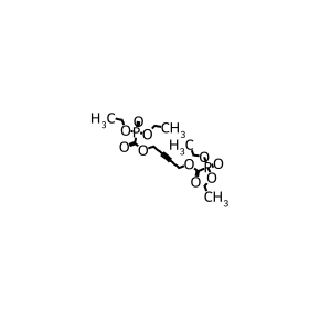 CCOP(=O)(OCC)C(=O)OCC#CCOC(=O)P(=O)(OCC)OCC